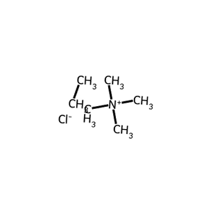 CC.C[N+](C)(C)C.[Cl-]